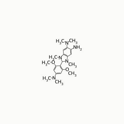 COc1cc(N(C)C)cc(OC)c1C1N(C)c2cc(N)c(N(C)C)cc2N1C